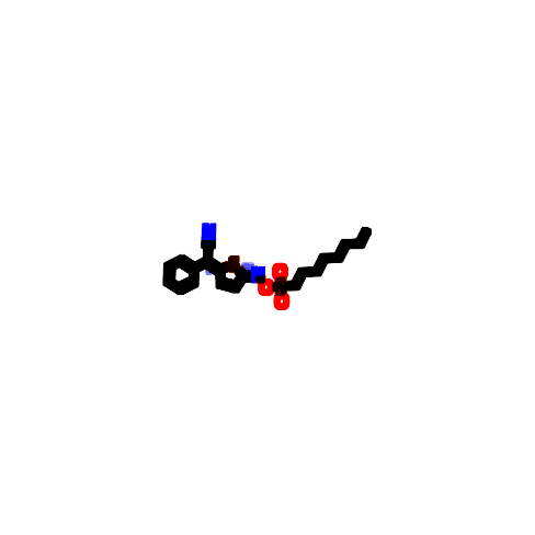 CCCCCCCCS(=O)(=O)O/N=C1C=C/C(=C(/C#N)c2ccccc2)S\1